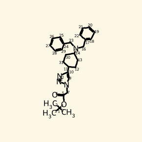 CC(C)(C)OC(=O)Cn1cc(C2CCC(N(Cc3ccccc3)Cc3ccccc3)CC2)nn1